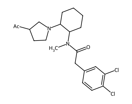 CC(=O)C1CCN(C2CCCCC2N(C)C(=O)Cc2ccc(Cl)c(Cl)c2)C1